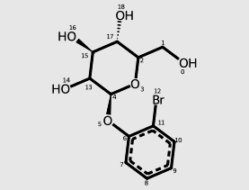 OCC1O[C@@H](Oc2ccccc2Br)C(O)[C@@H](O)[C@@H]1O